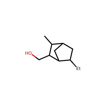 CCC1CC2CC1C(CO)C2C